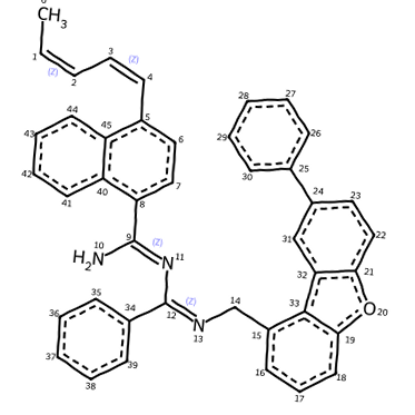 C/C=C\C=C/c1ccc(/C(N)=N/C(=N\Cc2cccc3oc4ccc(-c5ccccc5)cc4c23)c2ccccc2)c2ccccc12